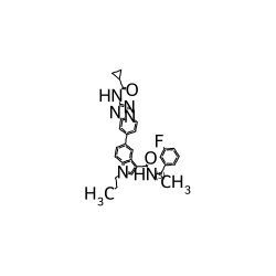 CCCn1cc(C(=O)N[C@@H](C)c2cccc(F)c2)c2cc(-c3ccn4nc(NC(=O)C5CC5)nc4c3)ccc21